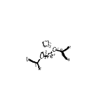 CC(C)[O][Fe+][O]C(C)C.[Cl-]